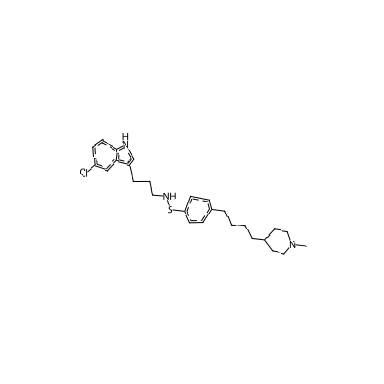 CN1CCC(CCCCc2ccc(SNCCCc3c[nH]c4ccc(Cl)cc34)cc2)CC1